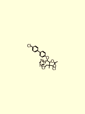 CC(=O)OC(C(Oc1ccc(-c2ccc(Cl)cc2)cc1)n1cncn1)C(C)(CCl)CCl